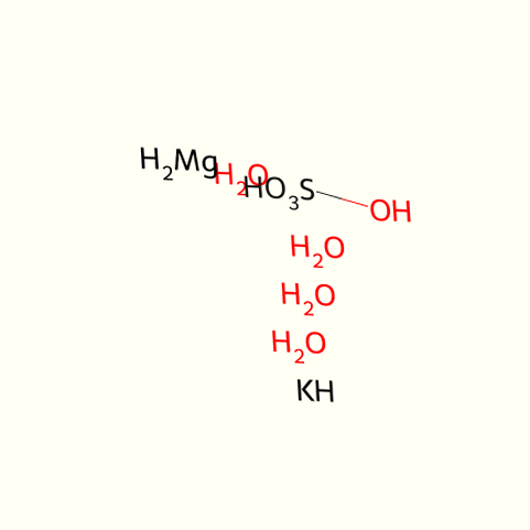 O.O.O.O.O=S(=O)(O)O.[KH].[MgH2]